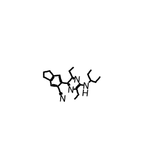 CCc1nc(-c2cc3c(cc2C#N)CCC3)c(CC)nc1NC(CC)CC